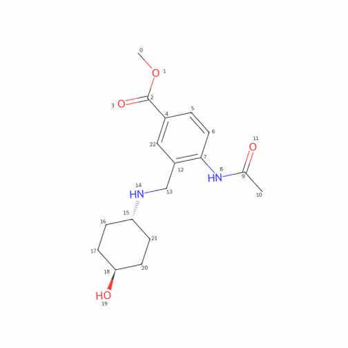 COC(=O)c1ccc(NC(C)=O)c(CN[C@H]2CC[C@H](O)CC2)c1